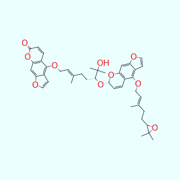 C/C(=C\COc1c2c(cc3occc13)O[C@@H](O[C@H](CC/C(C)=C/COc1c3ccoc3cc3oc(=O)ccc13)C(C)(C)O)C=C2)CCC1OC1(C)C